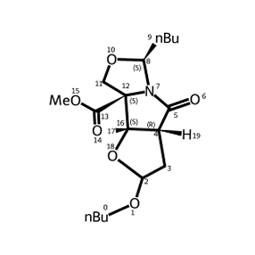 CCCCOC1C[C@H]2C(=O)N3[C@H](CCCC)OC[C@@]3(C(=O)OC)[C@@]2(C)O1